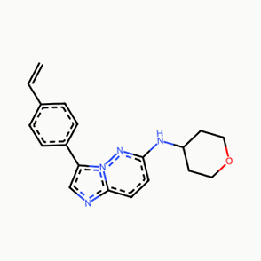 C=Cc1ccc(-c2cnc3ccc(NC4CCOCC4)nn23)cc1